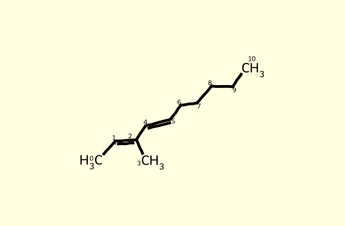 C/[C]=C(\C)C=CCCCCC